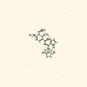 CC1C(C(=N)/N=C(\c2ccc[nH]2)N2C[C@H]3CC[C@@H](C2)O3)=CC=C(N)C1C=N